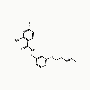 C/C=C/CCOc1cccc(CNC(=O)c2ccc(F)nc2N)c1